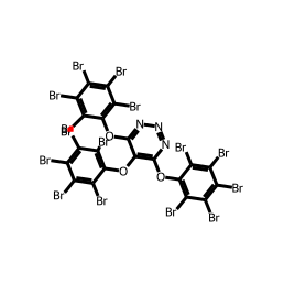 Brc1c(Br)c(Br)c(Oc2nnnc(Oc3c(Br)c(Br)c(Br)c(Br)c3Br)c2Oc2c(Br)c(Br)c(Br)c(Br)c2Br)c(Br)c1Br